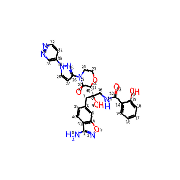 Nc1noc2cc(CC(O)(CNC(=O)c3ccccc3O)[C@H]3OCCN(c4ccn(-c5ccnnc5)n4)C3=O)ccc12